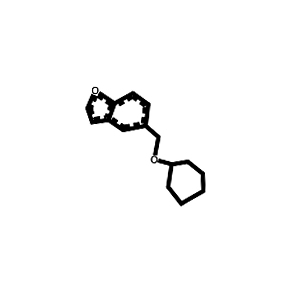 c1cc2cc(COC3CCCCC3)ccc2o1